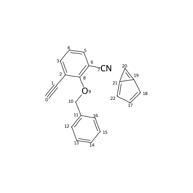 C#Cc1cccc(C#N)c1OCc1ccccc1.c1cc2cc-2c1